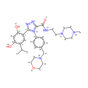 CC(C)c1cc(-c2nnc(C(=O)NCCN3CCN(C)CC3)n2-c2ccc(CN3CCOCC3)cc2)c(O)cc1O